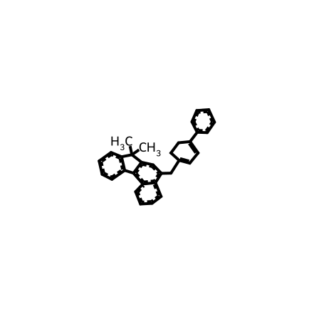 CC1(C)c2ccccc2-c2c1cc(CC1=CC=C(c3ccccc3)CC1)c1ccccc21